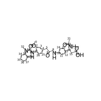 COc1cc(CC(=O)CNc2ccc(C(CC(=O)O)NC(C)=O)cc2)ccc1NC(=O)N(C)c1ccccc1C